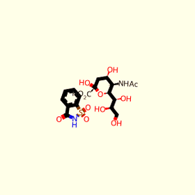 CC(=O)N[C@H]1[C@H]([C@H](O)[C@H](O)CO)O[C@](O)(C(=O)O)C[C@@H]1O.O=C1NS(=O)(=O)c2ccccc21